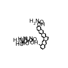 Cc1cccc2cc3ccc4cc5cc6ccccc6cc5cc4c3cc12.NC(=O)O.NC(=O)O.NC(=O)O.NC(=O)O